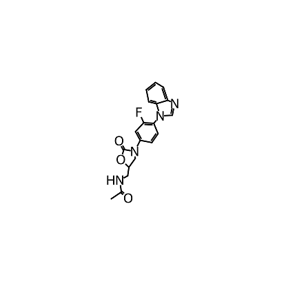 CC(=O)NCC1CN(c2ccc(-n3cnc4ccccc43)c(F)c2)C(=O)O1